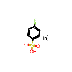 O=S(=O)(O)c1ccc(F)cc1.[In]